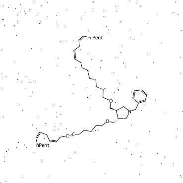 CCCCC/C=C\C/C=C\CCCCCCCCOC[C@H]1CN(Cc2ccccc2)C[C@@H]1COCCCCCCCC/C=C\C/C=C\CCCCC